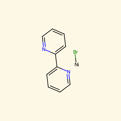 [Ni][Br].c1ccc(-c2ccccn2)nc1